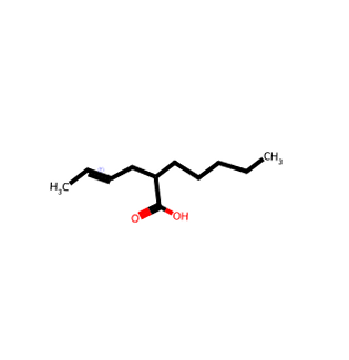 C/C=C/CC(CCCCC)C(=O)O